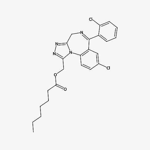 CCCCCCC(=O)OCc1nnc2n1-c1ccc(Cl)cc1C(c1ccccc1Cl)=NC2